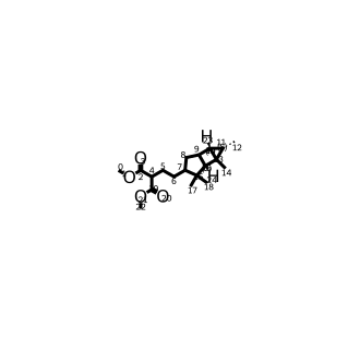 COC(=O)C(CCC1CC2[C@@H]3[C@H](C)C3(C)[C@@H]2C1(C)C)C(=O)OC